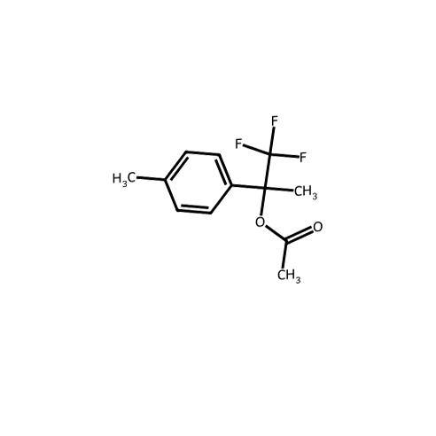 CC(=O)OC(C)(c1ccc(C)cc1)C(F)(F)F